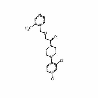 Cc1cnccc1COCC(=O)N1CCN(c2ccc(Cl)cc2Cl)CC1